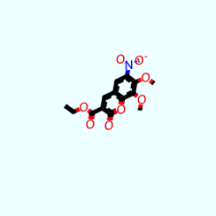 CCOC(=O)c1cc2cc([N+](=O)[O-])c(OC)c(OC)c2oc1=O